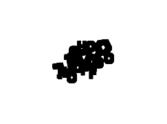 CCN(C)C(=O)COc1c(S(C)(=O)=O)ccc(C(=O)C2=C(O)CCCC2=O)c1C(F)(F)F